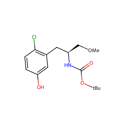 COC[C@H](Cc1cc(O)ccc1Cl)NC(=O)OC(C)(C)C